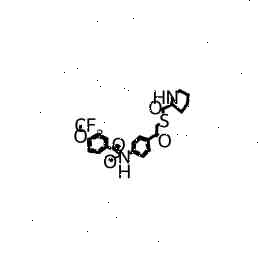 O=C(CSC(=O)C1CCCCN1)c1ccc(NS(=O)(=O)c2ccc(OC(F)(F)F)cc2)cc1